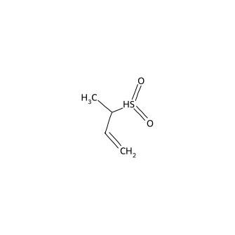 C=CC(C)[SH](=O)=O